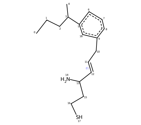 CCCC(C)c1cccc(C/C=C/C(N)CCS)c1